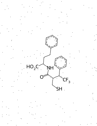 O=C(O)C(CCc1ccccc1)NC(=O)C(CS)C(c1ccccc1)C(F)(F)F